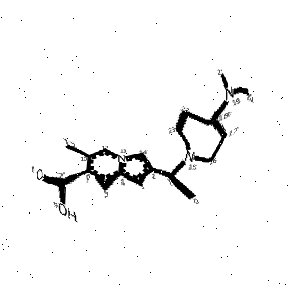 C=C(c1cc2cc(C(=O)O)c(C)cn2c1)N1CCC(N(C)C)CC1